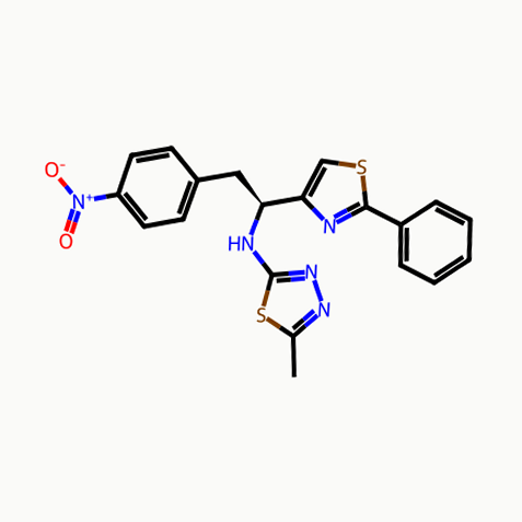 Cc1nnc(N[C@@H](Cc2ccc([N+](=O)[O-])cc2)c2csc(-c3ccccc3)n2)s1